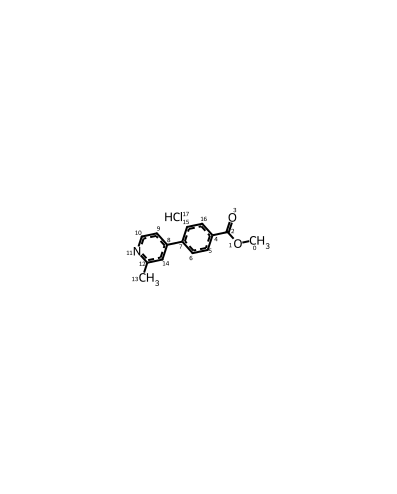 COC(=O)c1ccc(-c2ccnc(C)c2)cc1.Cl